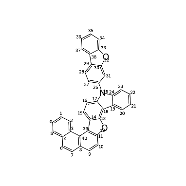 c1ccc2c(c1)ccc1ccc3oc4c(ccc5c4c4ccccc4n5-c4ccc5c(c4)oc4ccccc45)c3c12